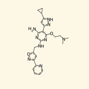 CN(C)CCOc1nc(NCc2cc(-c3ccccn3)no2)nc(N)c1-c1cc(C2CC2)[nH]n1